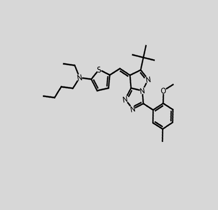 CCCCN(CC)c1ccc(/C=c2/c(C(C)(C)C)nn3c(-c4cc(C)ccc4OC)nnc23)s1